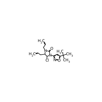 C=CCC1C(Cl)N(c2cc(C(C)(C)C)on2)C(=O)N1CC=C